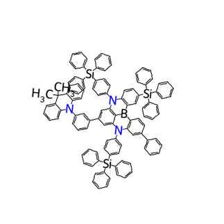 CC1(C)c2ccccc2N(c2cccc(-c3cc4c5c(c3)N(c3ccc([Si](c6ccccc6)(c6ccccc6)c6ccccc6)cc3)c3cc(-c6ccccc6)ccc3B5c3cc([Si](c5ccccc5)(c5ccccc5)c5ccccc5)ccc3N4c3ccc([Si](c4ccccc4)(c4ccccc4)c4ccccc4)cc3)c2)c2ccccc21